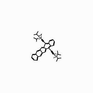 CC(C)[Si](C)(C#Cc1c2ccccc2c(C#C[Si](C)(C(C)C)C(C)C)c2cc3cc4ccccc4cc3cc12)C(C)C